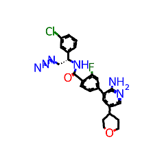 [N-]=[N+]=NC[C@@H](NC(=O)c1ccc(-c2cc(C3CCOCC3)cnc2N)cc1F)c1cccc(Cl)c1